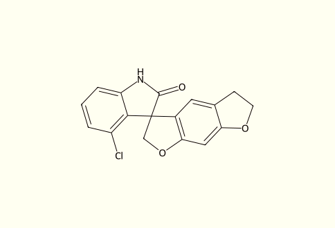 O=C1Nc2cccc(Cl)c2C12COc1cc3c(cc12)CCO3